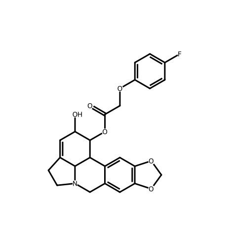 O=C(COc1ccc(F)cc1)OC1C(O)C=C2CCN3Cc4cc5c(cc4C1C23)OCO5